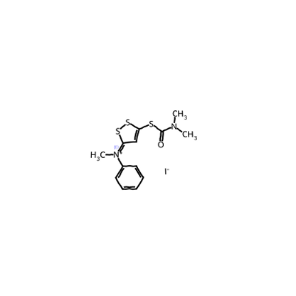 CN(C)C(=O)Sc1c/c(=[N+](/C)c2ccccc2)ss1.[I-]